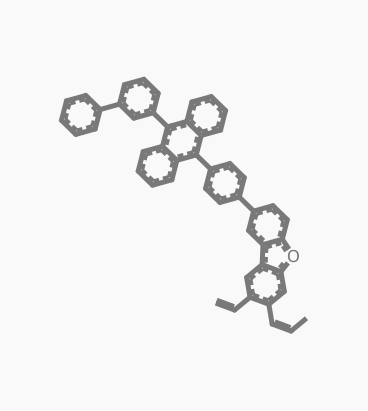 C=Cc1cc2c(cc1/C=C\C)oc1ccc(-c3ccc(-c4c5ccccc5c(-c5cccc(-c6ccccc6)c5)c5ccccc45)cc3)cc12